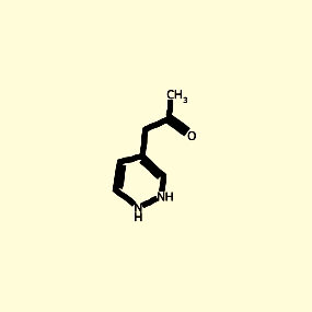 CC(=O)CC1=CNNC=C1